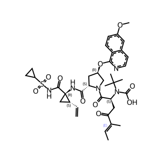 C=C[C@@H]1C[C@]1(NC(=O)[C@@H]1C[C@@H](Oc2nccc3cc(OC)ccc23)CN1C(=O)[C@H](CC(=O)/C(C)=C/C)N(C(=O)O)C(C)(C)C)C(=O)NS(=O)(=O)C1CC1